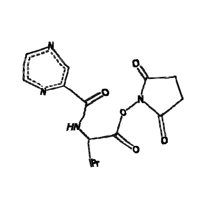 CC(C)C(NC(=O)c1cnccn1)C(=O)ON1C(=O)CCC1=O